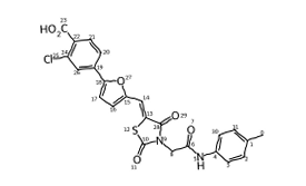 Cc1ccc(NC(=O)CN2C(=O)S/C(=C\c3ccc(-c4ccc(C(=O)O)c(Cl)c4)o3)C2=O)cc1